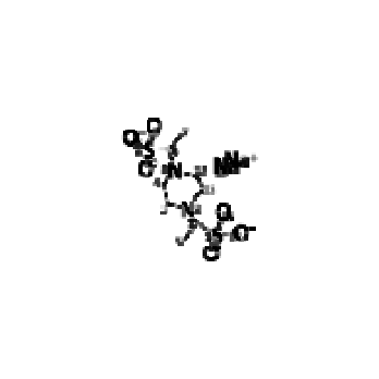 CC(N1CCN(C(C)S(=O)(=O)[O-])CC1)S(=O)(=O)[O-].[Na+].[Na+]